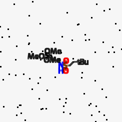 CO[Si](CCCNS(=O)(=O)CCC(C)(C)C)(OC)OC